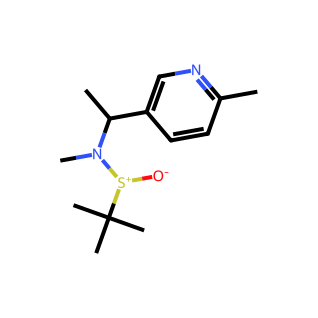 Cc1ccc(C(C)N(C)[S+]([O-])C(C)(C)C)cn1